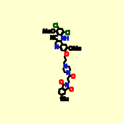 COc1cc(Nc2c(C#N)cnc3cc(OCCCN4CCN(C(=O)CCN5C(=O)c6ccc(C(C)(C)C)cc6C5=O)CC4)c(OC)cc23)c(Cl)cc1Cl